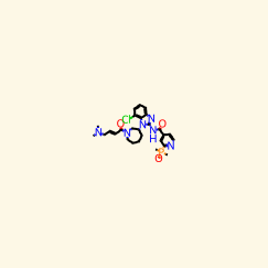 CN(C)C/C=C/C(=O)N1CCCCC(n2c(NC(=O)c3ccnc(P(C)(C)=O)c3)nc3cccc(Cl)c32)C1